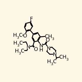 CCN(CC)C(=O)c1cc(-c2cc(F)ccc2OC)cc(C)c1NC(=O)N1CCN(C(C)C)CC1